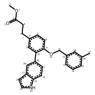 COC(=O)CCc1ccc(OCc2cccc(C)c2)c(-c2ccc3[nH]ccc3c2)c1